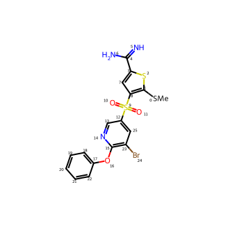 CSc1sc(C(=N)N)cc1S(=O)(=O)c1cnc(Oc2ccccc2)c(Br)c1